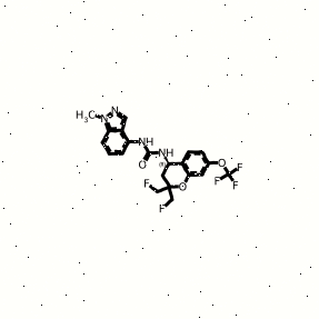 Cn1ncc2c(NC(=O)N[C@@H]3CC(CF)(CF)Oc4cc(OC(F)(F)F)ccc43)cccc21